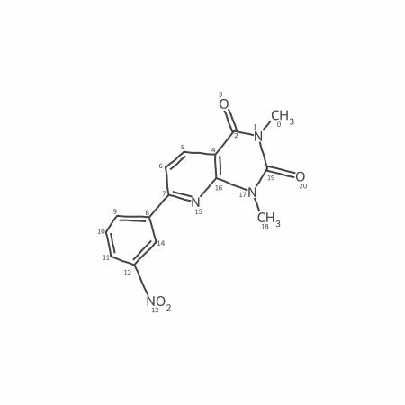 Cn1c(=O)c2ccc(-c3cccc([N+](=O)[O-])c3)nc2n(C)c1=O